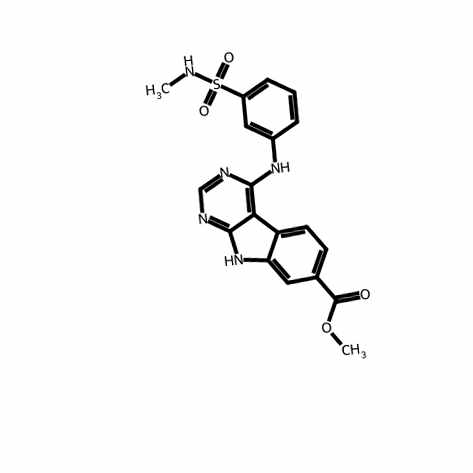 CNS(=O)(=O)c1cccc(Nc2ncnc3[nH]c4cc(C(=O)OC)ccc4c23)c1